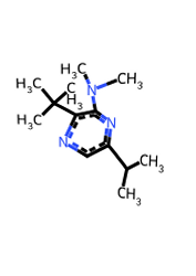 CC(C)c1cnc(C(C)(C)C)c(N(C)C)n1